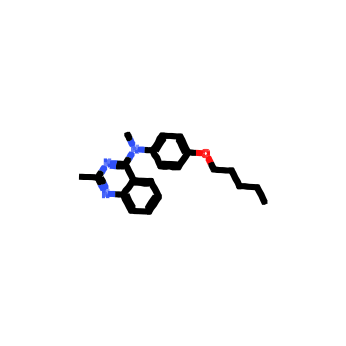 CCCCCOc1ccc(N(C)c2nc(C)nc3ccccc23)cc1